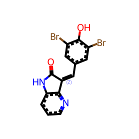 O=C1Nc2cccnc2/C1=C/c1cc(Br)c(O)c(Br)c1